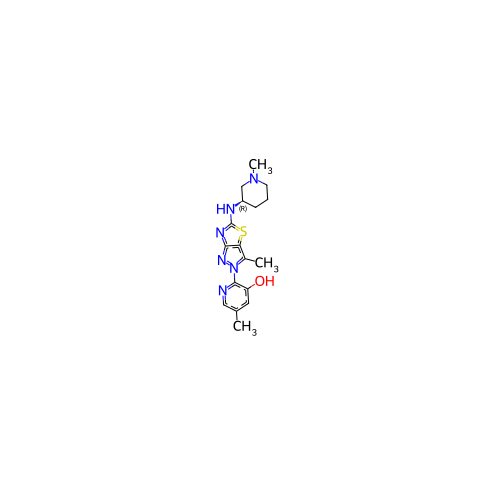 Cc1cnc(-n2nc3nc(N[C@@H]4CCCN(C)C4)sc3c2C)c(O)c1